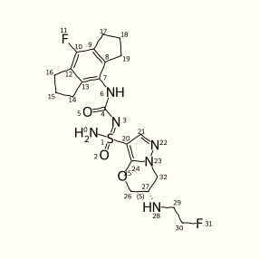 NS(=O)(=NC(=O)Nc1c2c(c(F)c3c1CCC3)CCC2)c1cnn2c1OC[C@@H](NCCF)C2